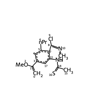 C=C(OC)c1cc(CCC)c(/C(Cl)=N\C)c(NC(C)=S)c1